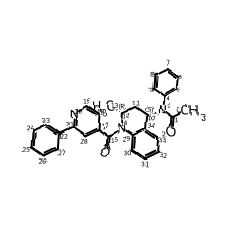 CC(=O)N(c1ccccc1)[C@H]1C[C@@H](C)N(C(=O)c2ccnc(-c3ccccc3)c2)c2ccccc21